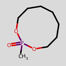 CP1(=O)OCCCCCCCO1